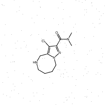 CN(C)C(=O)c1nn2c(c1Cl)CNCCCC2